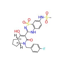 CS(=O)(=O)Nc1ccc2c(c1)S(=O)(=O)N=C(C1=C(O)[C@H]3CCC[C@H]3N(Cc3ccc(F)cc3)C1=O)N2